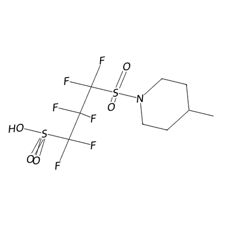 CC1CCN(S(=O)(=O)C(F)(F)C(F)(F)C(F)(F)S(=O)(=O)O)CC1